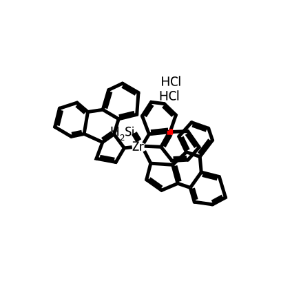 Cl.Cl.[SiH2]=[Zr]([c]1ccccc1)([c]1ccccc1)([CH]1C=Cc2c1c1ccccc1c1ccccc21)[CH]1C=Cc2c1c1ccccc1c1ccccc21